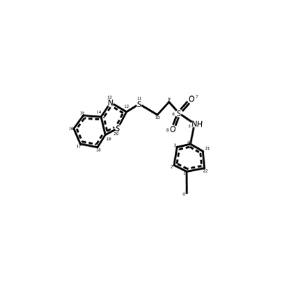 Cc1ccc(NS(=O)(=O)CCSc2nc3ccccc3s2)cc1